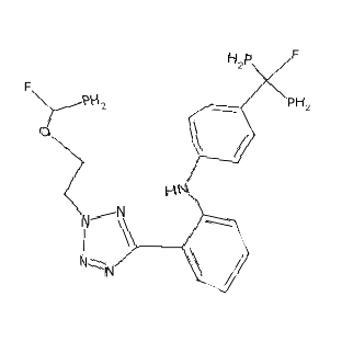 FC(P)OCCn1nnc(-c2ccccc2Nc2ccc(C(F)(P)P)cc2)n1